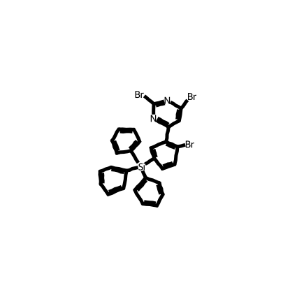 Brc1cc(-c2cc([Si](c3ccccc3)(c3ccccc3)c3ccccc3)ccc2Br)nc(Br)n1